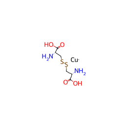 N[C@@H](CSSC[C@H](N)C(=O)O)C(=O)O.[Cu]